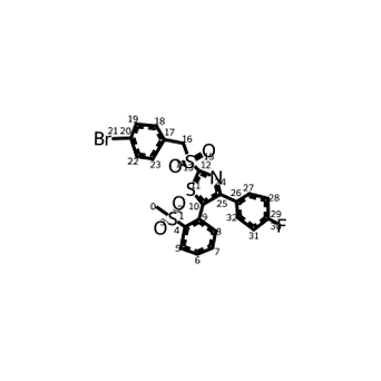 CS(=O)(=O)c1ccccc1-c1sc(S(=O)(=O)Cc2ccc(Br)cc2)nc1-c1ccc(F)cc1